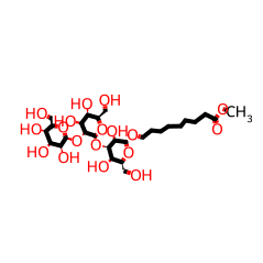 COC(=O)CCCCCCCCO[C@H]1O[C@H](CO)[C@@H](O)[C@H](O[C@@H]2O[C@H](CO)[C@@H](O)[C@H](O)[C@H]2O[C@@H]2O[C@H](CO)[C@@H](O)[C@H](O)[C@H]2O)[C@H]1O